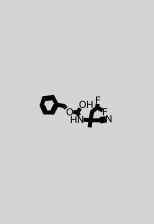 CC(C#N)(CC(F)F)NC(O)OCc1ccccc1